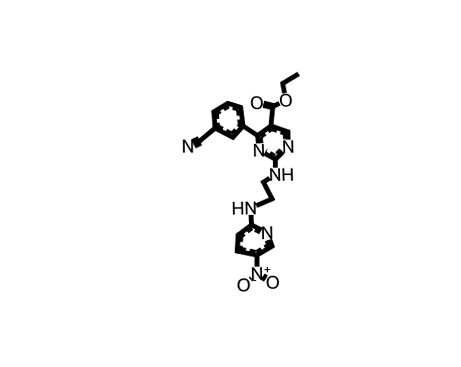 CCOC(=O)c1cnc(NCCNc2ccc([N+](=O)[O-])cn2)nc1-c1cccc(C#N)c1